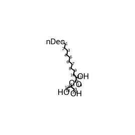 CCCCCCCCCCCCCCCCCCCCC(O)C(=O)OC(CO)CO